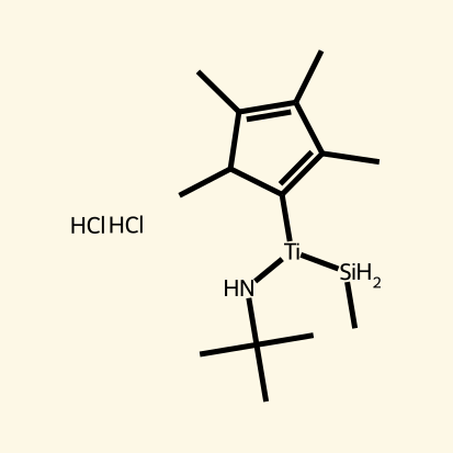 C[SiH2][Ti]([NH]C(C)(C)C)[C]1=C(C)C(C)=C(C)C1C.Cl.Cl